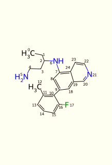 CCC(CCN)Nc1cc(-c2c(C)cccc2F)cc2cnccc12